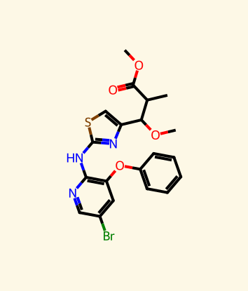 COC(=O)C(C)C(OC)c1csc(Nc2ncc(Br)cc2Oc2ccccc2)n1